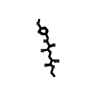 CCOC(=O)C(O)CCC(Cl)C(=O)NCc1ccc(OC)cc1